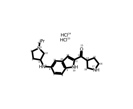 CC(C)N1CCC(Nc2ccc3[nH]c(C(=O)C4CCNC4)cc3c2)C1.Cl.Cl